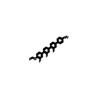 CCCc1ccc(-c2ccc(-c3ccc(-c4ccc(OCF)c(F)c4)c(F)c3)c(F)c2)cc1